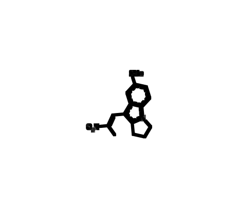 CSc1ccc2c(c1)c(/C=C(\C)[N+](=O)[O-])c1n2CCC1